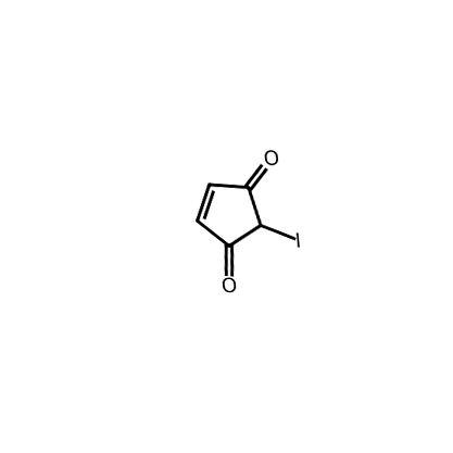 O=C1C=CC(=O)C1I